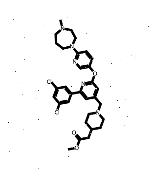 COC(=O)CC1CCN(Cc2cc(Oc3ccc(N4CCCN(C)CC4)nc3)nc(-c3cc(Cl)cc(Cl)c3)c2)CC1